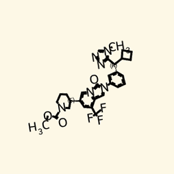 COC(=O)N1CCC[C@@H](c2cc(C(F)(F)F)c3cn(-c4cccc([C@H](c5nncn5C)C5CCC5)c4)c(=O)n3c2)C1